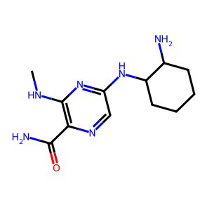 CNc1nc(NC2CCCCC2N)cnc1C(N)=O